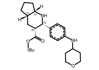 CC(C)(C)OC(=O)[C@@H]1C[C@@H]2CCC[C@@H]2N[C@@H]1c1ccc(NC2CCOCC2)cc1